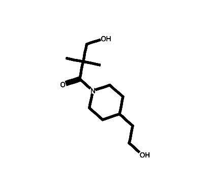 CC(C)(CO)C(=O)N1CCC(CCO)CC1